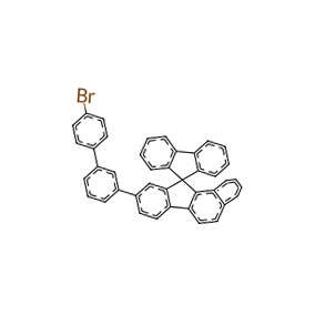 Brc1ccc(-c2cccc(-c3ccc4c(c3)C3(c5ccccc5-c5ccccc53)c3c-4ccc4ccccc34)c2)cc1